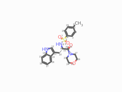 Cc1ccc(S(=O)(=O)N[C@@H](Cc2c[nH]c3ccccc23)C(=O)N2CCOCC2)cc1